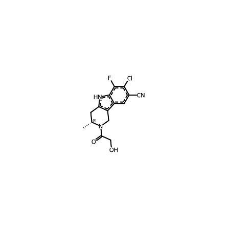 C[C@@H]1Cc2[nH]c3c(F)c(Cl)c(C#N)cc3c2CN1C(=O)CO